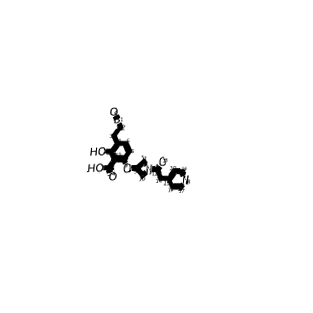 O=BCCc1ccc(OC2CN(C(=O)Cc3ccncc3)C2)c(C(=O)O)c1O